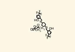 CC(=O)[O-].CC(=O)[O-].Oc1ccc(C(F)(F)F)cc1C=NC1CCC(N=Cc2cc(C(F)(F)F)ccc2O)CC1.[Co+2]